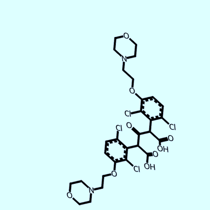 O=C(O)C(C(=O)C(C(=O)O)c1c(Cl)ccc(OCCN2CCOCC2)c1Cl)c1c(Cl)ccc(OCCN2CCOCC2)c1Cl